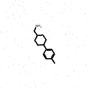 Cc1ccc(C2CCC(CN)CC2)cc1